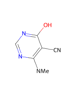 CNc1ncnc(O)c1C#N